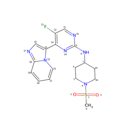 CS(=O)(=O)N1CCC(Nc2ncc(F)c(-c3cnc4ccccn34)n2)CC1